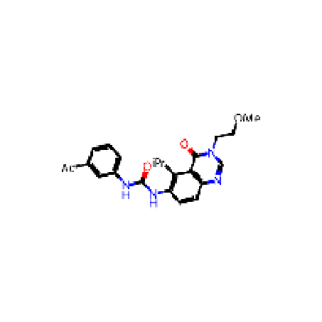 COCCn1cnc2ccc(NC(=O)Nc3cccc(C(C)=O)c3)c(C(C)C)c2c1=O